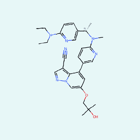 CCN(CC)c1ccc([C@H](C)N(C)c2ccc(-c3cc(OCC(C)(C)O)cn4ncc(C#N)c34)cn2)cn1